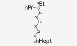 [CH2]CCCCCCCCCCCCC(CC)CC[CH2]